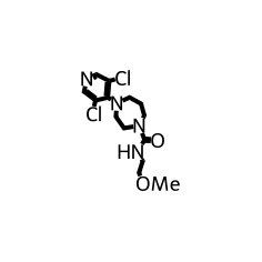 COCCNC(=O)N1CCCN(c2c(Cl)cncc2Cl)CC1